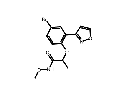 CONC(=O)C(C)Oc1ccc(Br)cc1-c1ccon1